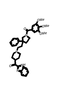 COc1cc(C(=O)N2CCC(CCN3CCC(C(=O)c4nc5ccccc5[nH]4)CC3)(c3ccccc3)C2)cc(OC)c1OC